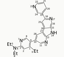 CCc1cc(N(CC)CC)ncc1-c1cnc2[nH]c3cnc(-c4cccnc4)cc3c2c1